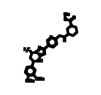 COc1ccc(C2CC(C(F)(F)F)n3nc(-c4ccc(CNC5CCCN(C(=O)OC(C)(C)C)C5)nc4)cc3N2)cc1OC